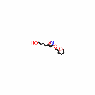 OCCCCc1cc(OCC2[C]CCCO2)no1